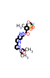 Cc1cc(C(=O)NCc2cc3nc(-c4cccc(N5C[C@@H](C)O[C@@H](C)C5)n4)ccc3cn2)cc2c1COC[C@H](F)S2(=O)=O